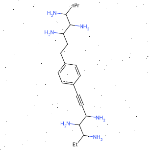 CCCC(N)C(N)C(N)CCc1ccc(C#CC(N)C(N)C(N)CC)cc1